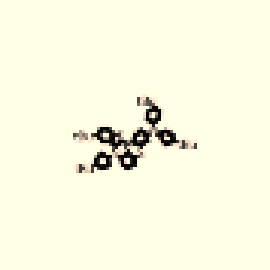 CC(C)(C)c1ccc(N(c2ccc(C(C)(C)C)cc2)c2ccc3c(c2)Sc2cccc4c2B3c2sc3ccc(C(C)(C)C)cc3c2N4c2ccc(C(C)(C)C)cc2)cc1